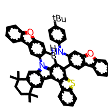 CC(C)(C)c1ccc(Nc2cc3oc4ccccc4c3cc2-c2c3c4c(c5cc6c(cc5n4-c4cc5c(cc4B3)oc3ccccc35)C(C)(C)CCC6(C)C)c3c2sc2ccccc23)cc1